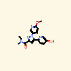 CCN(C)C(=O)c1cc(-c2ccc(O)cn2)n(-c2ccc(OC)nc2)n1